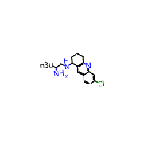 CCCCC(N)CNC1CCCc2nc3cc(Cl)ccc3cc21